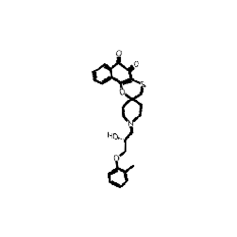 Cc1ccccc1OC[C@H](O)CN1CCC2(CC1)CSC1=C(O2)c2ccccc2C(=O)C1=O